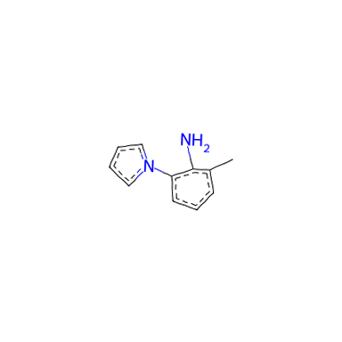 Cc1cccc(-n2cccc2)c1N